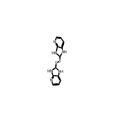 c1cnc2c(c1)NC(SSC1Nc3cccnc3N1)N2